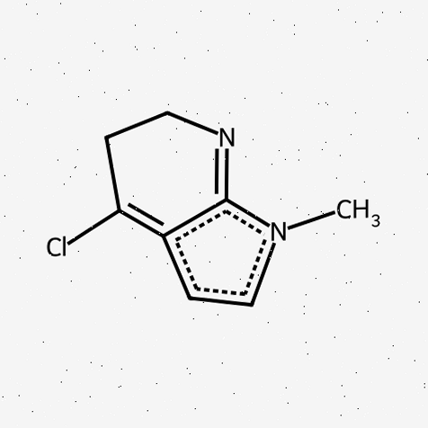 Cn1ccc2c1=NCCC=2Cl